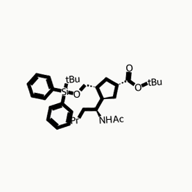 CC(=O)N[C@@H](CC(C)C)[C@@H]1C[C@@H](C(=O)OC(C)(C)C)C[C@H]1CO[Si](c1ccccc1)(c1ccccc1)C(C)(C)C